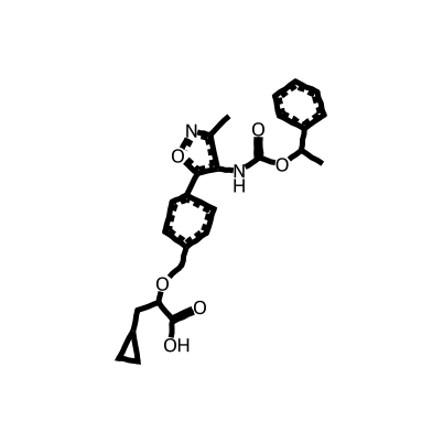 Cc1noc(-c2ccc(COC(CC3CC3)C(=O)O)cc2)c1NC(=O)OC(C)c1ccccc1